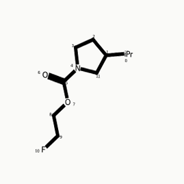 CC(C)C1CCN(C(=O)OCCF)C1